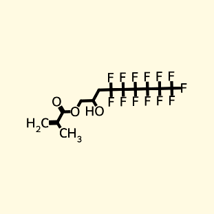 C=C(C)C(=O)OCC(O)CC(F)(F)C(F)(F)C(F)(F)C(F)(F)C(F)(F)C(F)(F)F